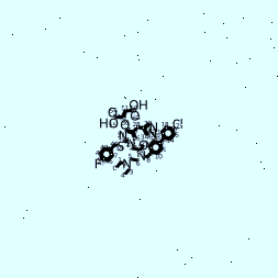 CCN(CC)CCN(Cc1ccc(-c2ccc(Cl)cc2)cc1)C(=O)Cn1cc(Cc2cnn(C)c2)c(=O)nc1SCc1ccc(F)cc1.O=C(O)C=CC(=O)O